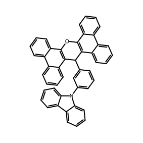 c1cc(C2c3c(c4ccccc4c4ccccc34)Oc3c2c2ccccc2c2ccccc32)cc(-n2c3ccccc3c3ccccc32)c1